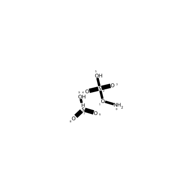 NOS(=O)(=O)O.O=[SH](=O)O